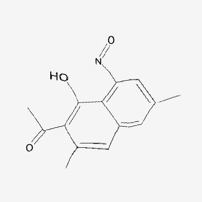 CC(=O)c1c(C)cc2cc(C)cc(N=O)c2c1O